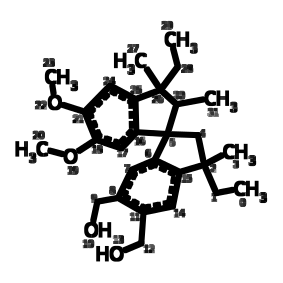 CCC1(C)CC2(c3cc(CO)c(CO)cc31)c1cc(OC)c(OC)cc1C(C)(CC)C2C